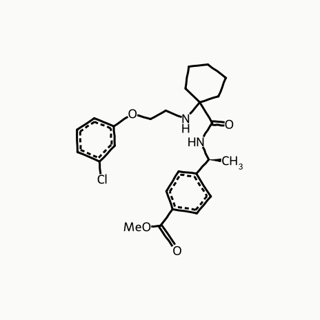 COC(=O)c1ccc([C@H](C)NC(=O)C2(NCCOc3cccc(Cl)c3)CCCCC2)cc1